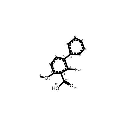 COc1ccc(-c2ccccc2)c(F)c1C(=O)O